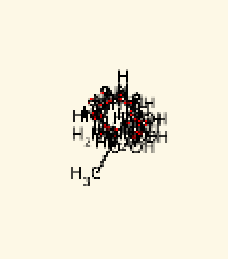 CCCCCCCCCCCC(=O)NCC(=O)N[C@H]1CSSC[C@@H](C(=O)N[C@@H](CC(=O)O)C(=O)N[C@@H](CC(=O)O)C(=O)N[C@@H](CC(=O)O)C(N)=O)NC(=O)[C@H](Cc2ccc(O)cc2)NC(=O)[C@H](Cc2c[nH]c3ccccc23)NC(=O)[C@H](Cc2c[nH]cn2)NC(=O)[C@H](Cc2c[nH]c3ccccc23)NC(=O)[C@@H](Cc2c[nH]c3ccccc23)NC(=O)[C@H](Cc2c[nH]cn2)NC(=O)[C@H](CCC(N)=O)NC1=O